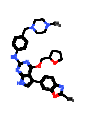 Cc1nc2ccc(-c3c[nH]c4nc(Nc5ccc(CN6CCN(C)CC6)cc5)nc(OCC5CCCO5)c34)cc2o1